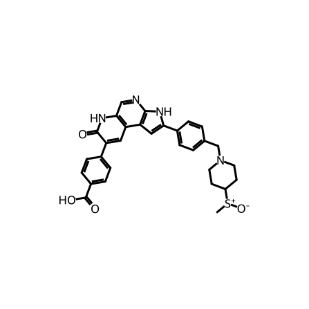 C[S+]([O-])C1CCN(Cc2ccc(-c3cc4c(ncc5[nH]c(=O)c(-c6ccc(C(=O)O)cc6)cc54)[nH]3)cc2)CC1